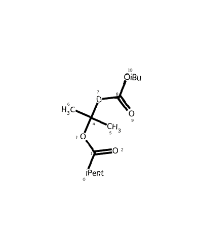 CCCC(C)C(=O)OC(C)(C)OC(=O)OCC(C)C